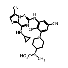 CN(C(=O)O)C1CCN(c2cc(C#N)cc(Nc3nc(NC4CC4)c4ncc(C#N)n4n3)c2Cl)CC1